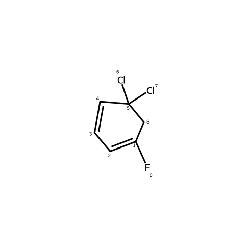 FC1=CC=CC(Cl)(Cl)C1